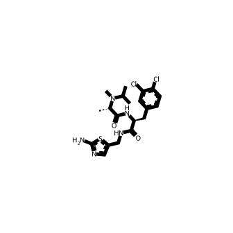 CC(C)N(C)[C@@H](C)C(=O)N[C@@H](Cc1ccc(Cl)c(Cl)c1)C(=O)NCc1cnc(N)s1